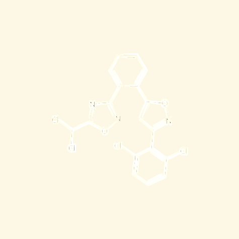 Clc1cccc(Cl)c1-c1cc(-c2ccccc2-c2noc(C(Cl)Cl)n2)on1